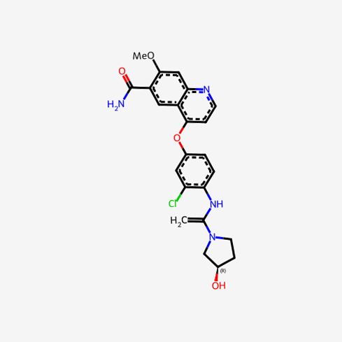 C=C(Nc1ccc(Oc2ccnc3cc(OC)c(C(N)=O)cc23)cc1Cl)N1CC[C@@H](O)C1